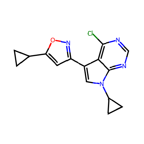 Clc1ncnc2c1c(-c1cc(C3CC3)on1)cn2C1CC1